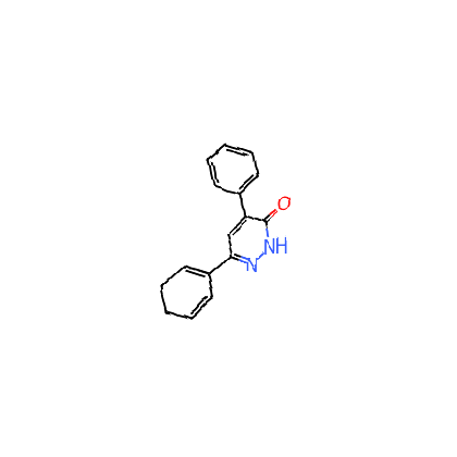 O=c1[nH]nc(C2=CCCC=C2)cc1-c1ccccc1